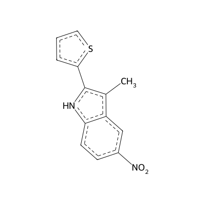 Cc1c(-c2cccs2)[nH]c2ccc([N+](=O)[O-])cc12